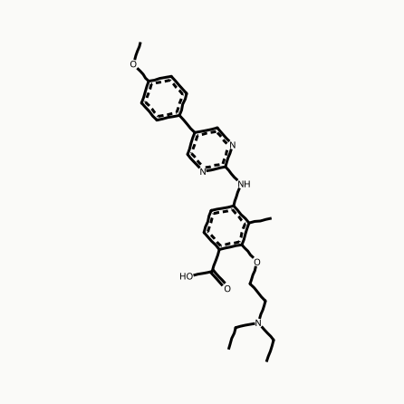 CCN(CC)CCOc1c(C(=O)O)ccc(Nc2ncc(-c3ccc(OC)cc3)cn2)c1C